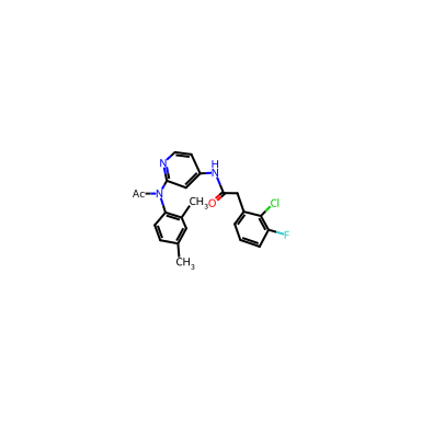 CC(=O)N(c1cc(NC(=O)Cc2cccc(F)c2Cl)ccn1)c1ccc(C)cc1C